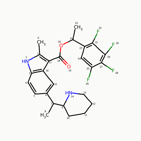 Cc1[nH]c2ccc(C(C)C3CCCCN3)cc2c1C(=O)OC(C)c1cc(F)c(F)c(F)c1F